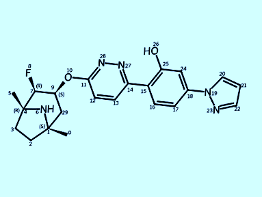 C[C@@]12CC[C@@](C)(N1)[C@@H](F)[C@@H](Oc1ccc(-c3ccc(-n4cccn4)cc3O)nn1)C2